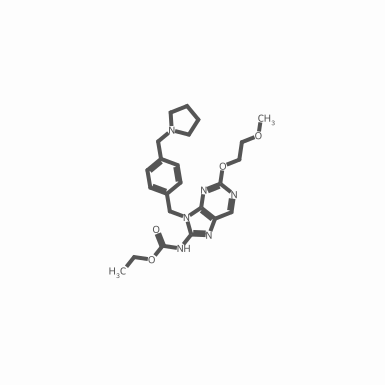 CCOC(=O)Nc1nc2cnc(OCCOC)nc2n1Cc1ccc(CN2CCCC2)cc1